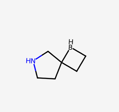 B1CCC12CCNC2